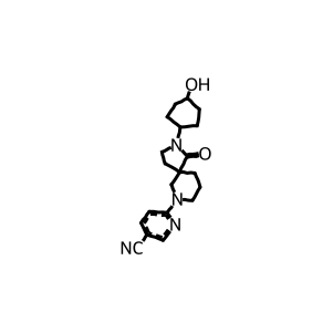 N#Cc1ccc(N2CCCC3(CCN(C4CCC(O)CC4)C3=O)C2)nc1